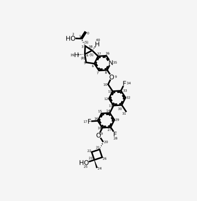 C=C(O)[C@H]1[C@@H]2Cc3cc(OCc4cc(-c5cc(F)c(OC[C@H]6C[C@@](C)(O)C6)c(F)c5)c(C)cc4F)ncc3[C@@H]21